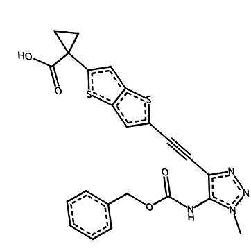 Cn1nnc(C#Cc2cc3sc(C4(C(=O)O)CC4)cc3s2)c1NC(=O)OCc1ccccc1